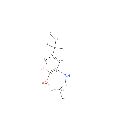 CCC(C)(C)c1cbc2c(c1)NCC(C)CO2